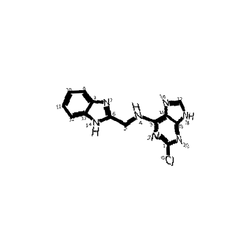 Clc1nc(NCc2nc3ccccc3[nH]2)c2nc[nH]c2n1